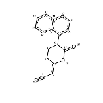 C#CC=C1CCC(c2cccc3ccccc23)C(=O)O1